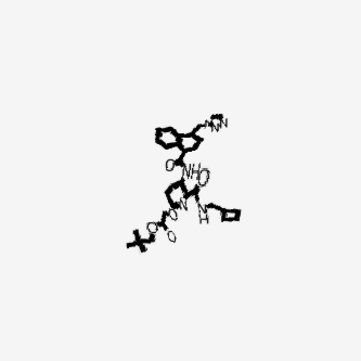 CC(C)(C)COC(=O)COc1ccc(NC(=O)c2ccc(Cn3ccnn3)c3ccccc23)c(C(=O)NCC2CCC2)n1